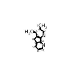 C=C/C=N\C1=C(C=C)Cc2cccnc21